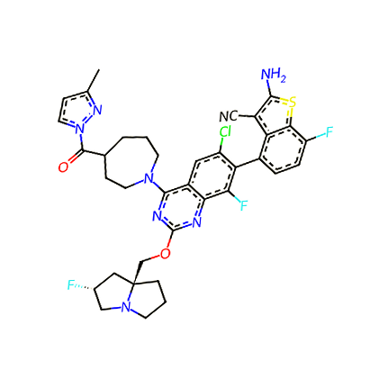 Cc1ccn(C(=O)C2CCCN(c3nc(OC[C@@]45CCCN4C[C@H](F)C5)nc4c(F)c(-c5ccc(F)c6sc(N)c(C#N)c56)c(Cl)cc34)CC2)n1